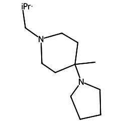 C[C](C)CN1CCC(C)(N2CCCC2)CC1